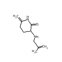 C=C(C)CNC1CCC(=C)NC1=O